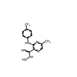 Cc1cnc(C(=N)NO)c(Nc2ccc(C(F)(F)F)cc2)n1